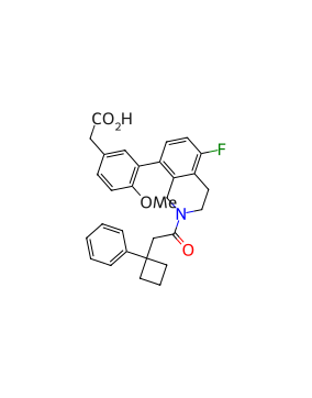 COc1ccc(CC(=O)O)cc1-c1ccc(F)c2c1CN(C(=O)CC1(c3ccccc3)CCC1)CC2